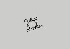 CN1C=CC(C2(Cl)c3ccc([nH]3)C(c3ccccc3)=C3C=CC(=N3)C(c3ccccc3)=c3ccc([nH]3)=C(c3ccccc3)C3=NC2(Cl)C=C3)=CC1